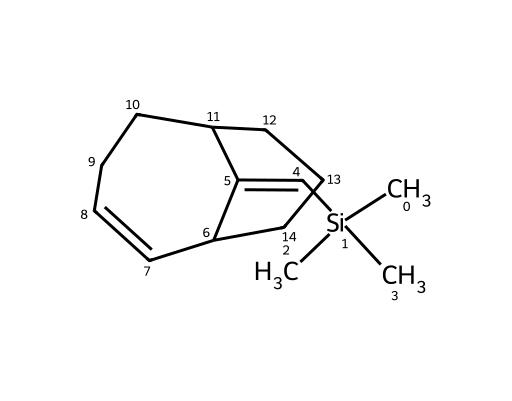 C[Si](C)(C)C=C1C2C=CCCC1CCC2